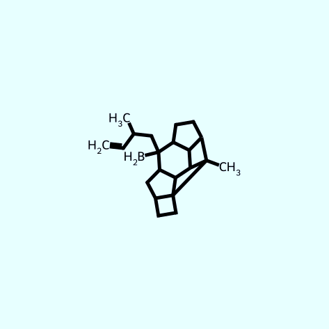 BC1(CC(C)C=C)C2CCC3C2C2C4C1CC1CCC14C32C